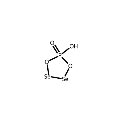 O=P1(O)O[Se][Se]O1